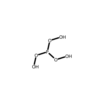 OOP(OO)OO